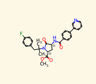 COC(=O)[C@@H]1C[C@H](NC(=O)c2ccc(-c3cccnc3)cc2)C(=O)N1C(C)(C)Cc1ccc(F)cc1